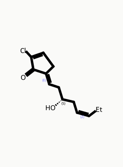 CC/C=C\C[C@H](O)C/C=C1\CC=C(Cl)C1=O